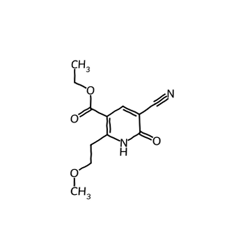 CCOC(=O)c1cc(C#N)c(=O)[nH]c1CCOC